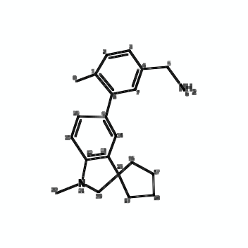 Cc1ccc(CN)cc1-c1ccc2c(c1)C1(CCCC1)CN2C